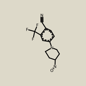 N#Cc1ccc(N2CCC(N=O)CC2)cc1C(F)(F)F